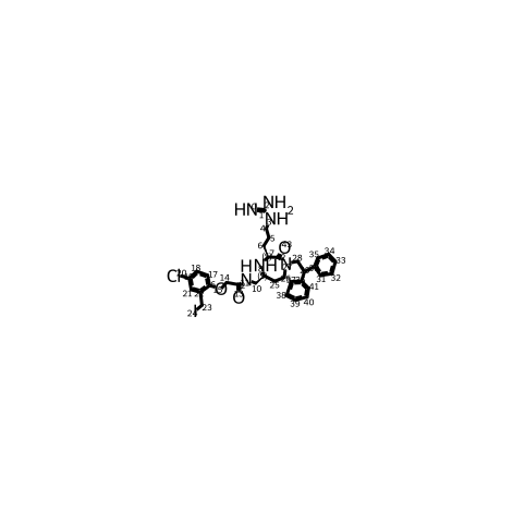 N=C(N)NCCC[C@@H]1N[C@H](CNC(=O)COc2ccc(Cl)cc2CI)CCN(CC(c2ccccc2)c2ccccc2)C1=O